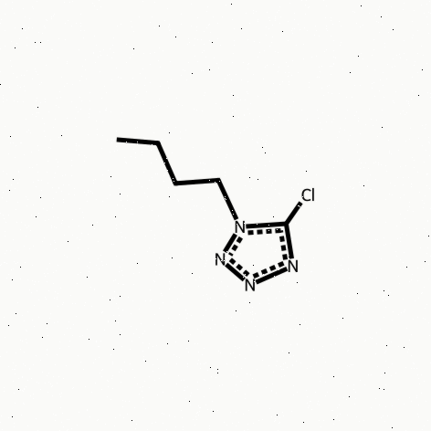 CCCCn1nnnc1Cl